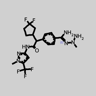 CN(N)/N=C(\N)c1ccc(C(C(=O)Nc2cc(C(F)(F)F)n(C)n2)C2CCC(F)(F)C2)cc1